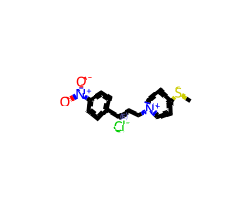 CSc1cc[n+](C/C=C/c2ccc([N+](=O)[O-])cc2)cc1.[Cl-]